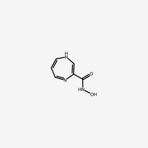 O=C(NO)C1=CNC=CC=N1